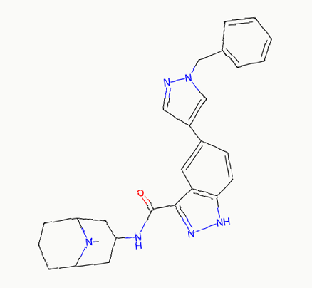 CN1C2CCCC1CC(NC(=O)c1n[nH]c3ccc(-c4cnn(Cc5ccccc5)c4)cc13)C2